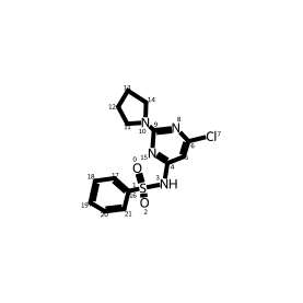 O=S(=O)(Nc1cc(Cl)nc(N2CCCC2)n1)c1cc[c]cc1